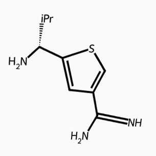 CC(C)[C@@H](N)c1cc(C(=N)N)cs1